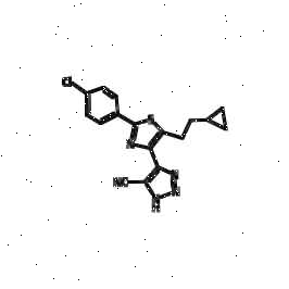 N#Cc1[nH]nnc1-c1nc(-c2ccc(Cl)cc2)sc1CCC1CC1